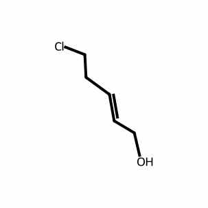 OC/C=C/CCCl